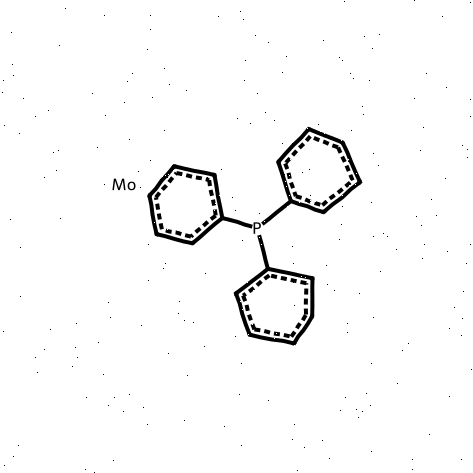 [Mo].c1ccc(P(c2ccccc2)c2ccccc2)cc1